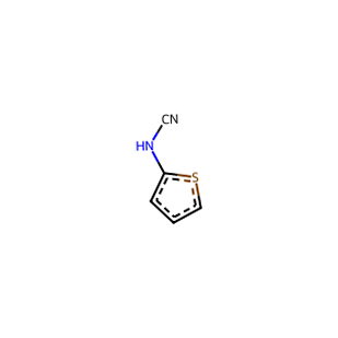 N#CNc1cccs1